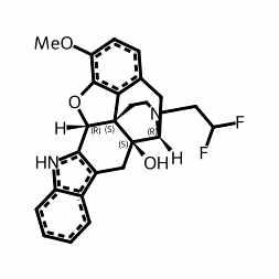 COc1ccc2c3c1O[C@H]1c4[nH]c5ccccc5c4C[C@@]4(O)[C@@H](C2)N(CC(F)F)CC[C@]314